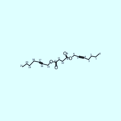 CCCCC#CCOC(=O)CCC(=O)OCC#CCCCC